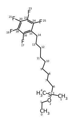 CCO[Si](C)(C)CCCCCCCCCc1c(F)c(F)c(F)c(F)c1F